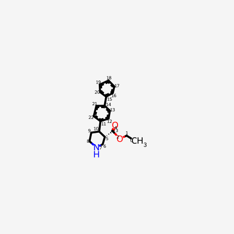 CCOC(=O)[C@@H]1CNCCC1c1ccc(-c2ccccc2)cc1